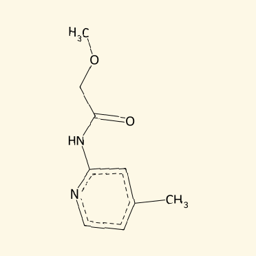 COCC(=O)Nc1cc(C)ccn1